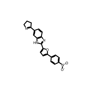 O=[N+]([O-])c1ccc(-c2ccc(-c3nc4ccc(C5=NCCC5)cc4[nH]3)o2)cc1